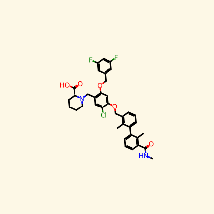 CNC(=O)c1cccc(-c2cccc(COc3cc(OCc4cc(F)cc(F)c4)c(CN4CCCC[C@H]4C(=O)O)cc3Cl)c2C)c1C